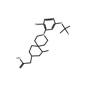 C=C(O)CC1CCC2(CCN(c3cc(OC(C)(C)F)ccc3Cl)CC2)C(C)C1